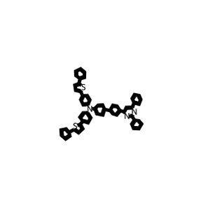 c1ccc(-c2cc(-c3ccc(-c4ccc(N(c5ccc(-c6ccc(-c7ccccc7)s6)cc5)c5ccc(-c6ccc(-c7ccccc7)s6)cc5)cc4)cc3)nc(-c3ccccc3)n2)cc1